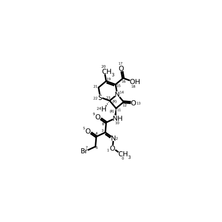 CON=C(C(=O)CBr)C(=O)N[C@@H]1C(=O)N2C(C(=O)O)=C(C)CS[C@H]12